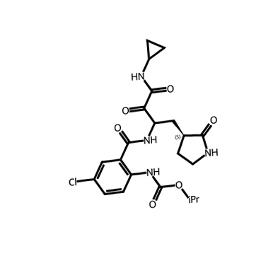 CC(C)OC(=O)Nc1ccc(Cl)cc1C(=O)NC(C[C@@H]1CCNC1=O)C(=O)C(=O)NC1CC1